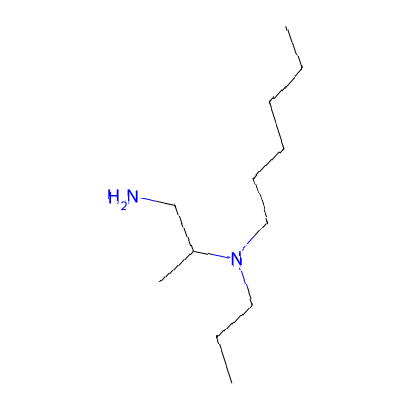 CCCCCCN(CCC)C(C)CN